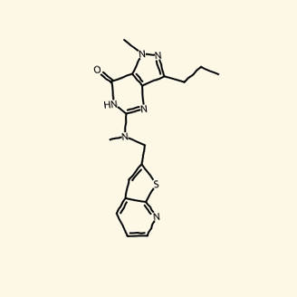 CCCc1nn(C)c2c(=O)[nH]c(N(C)Cc3cc4cccnc4s3)nc12